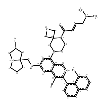 CN(C)C/C=C/C(=O)N1CCN(c2nc(OC[C@@]34CCCN3C[C@H](F)C4)nc3c(F)c(-c4cccc5cccc(Cl)c45)ncc23)CC12COC2